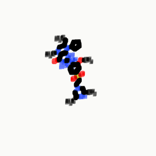 CCC1CN(C)C2=C(N[C@](N)(Nc3ccc(S(=O)(=O)CCN4CC(C)NC(C)C4)cc3OC)NC2=O)N1C1CCCC1